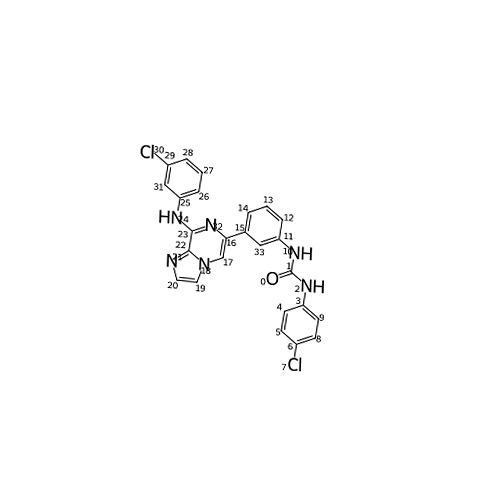 O=C(Nc1ccc(Cl)cc1)Nc1cccc(-c2cn3ccnc3c(Nc3cccc(Cl)c3)n2)c1